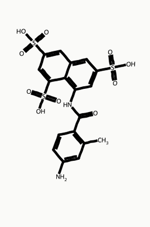 Cc1cc(N)ccc1C(=O)Nc1cc(S(=O)(=O)O)cc2cc(S(=O)(=O)O)cc(S(=O)(=O)O)c12